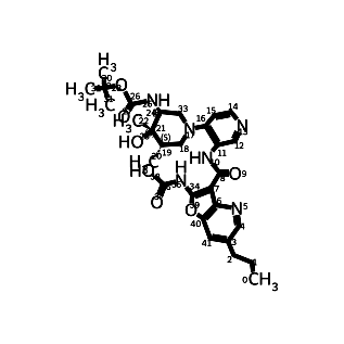 CCCc1cnc2c(C(=O)Nc3cnccc3N3C[C@H](C)[C@](C)(O)[C@H](NC(=O)OC(C)(C)C)C3)c(NC(=O)O)oc2c1